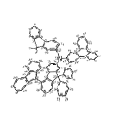 CC1(C)c2ccccc2-c2ccc(N(c3ccc4c(c3)C(c3ccccc3)(c3ccccc3)c3cccc(-n5c6ccccc6c6ccccc65)c3-4)c3ccc4c5ccccc5c5ccccc5c4c3)cc21